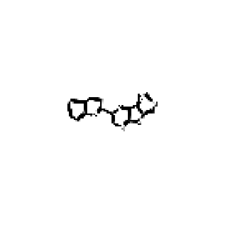 c1ccc2nc(-c3cnc4sc5cncnc5c4n3)ccc2c1